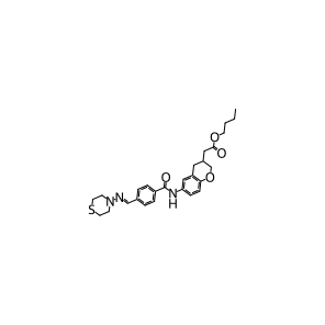 CCCCOC(=O)CC1COc2ccc(NC(=O)c3ccc(/C=N/N4CCSCC4)cc3)cc2C1